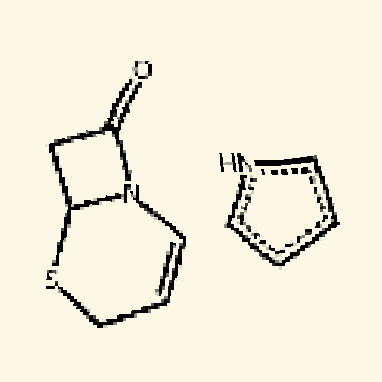 O=C1CC2SCC=CN12.c1cc[nH]c1